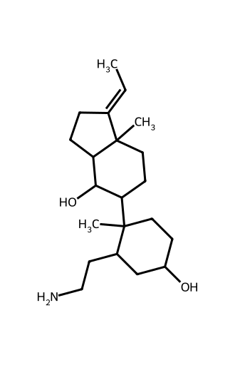 CC=C1CCC2C(O)C(C3(C)CCC(O)CC3CCN)CCC12C